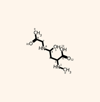 CNC(CC(O)NCC(C)=O)C(=O)O